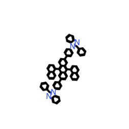 c1ccc(-c2nc3ccccc3n2-c2ccc(-c3ccc4c(-c5cccc6ccccc56)c5cc(-c6ccc(-n7c(-c8ccccc8)nc8ccccc87)cc6)ccc5c(-c5cccc6ccccc56)c4c3)cc2)cc1